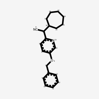 N#CC(c1ccc(OCc2ccccc2)cn1)C1CCCCCC1